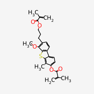 C=C(C)C(=O)OCCCc1ccc2c(sc3c(C)c(OC(=O)C(=C)C)ccc32)c1OC